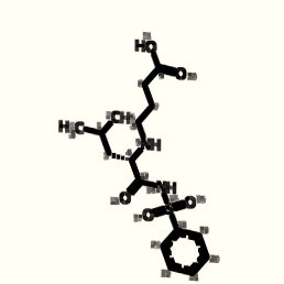 CC(C)C[C@H](NCCCC(=O)O)C(=O)NS(=O)(=O)c1ccccc1